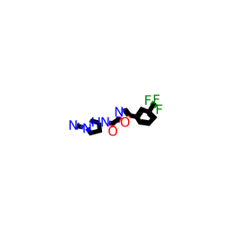 N#CN1CCC(NC(=O)c2ncc(-c3cccc(C(F)(F)F)c3)o2)C1